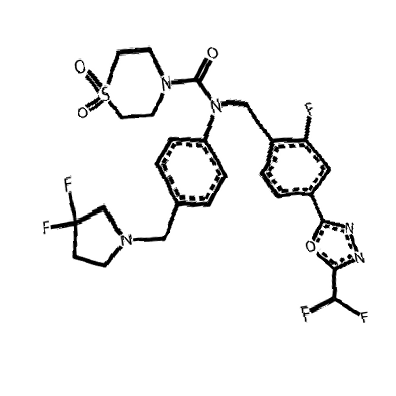 O=C(N1CCS(=O)(=O)CC1)N(Cc1ccc(-c2nnc(C(F)F)o2)cc1F)c1ccc(CN2CCC(F)(F)C2)cc1